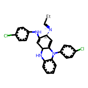 CC/C=N/[C@@H]1C=C2C(C=C1Nc1ccc(Cl)cc1)Nc1ccccc1N2c1ccc(Cl)cc1